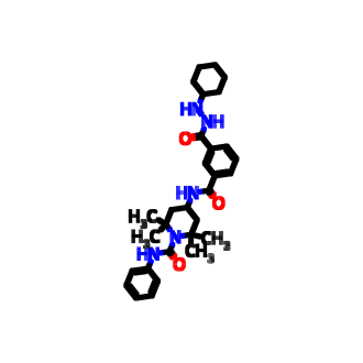 CC1(C)CC(NC(=O)c2cccc(C(=O)NNC3CCCCC3)c2)CC(C)(C)N1C(=O)Nc1ccccc1